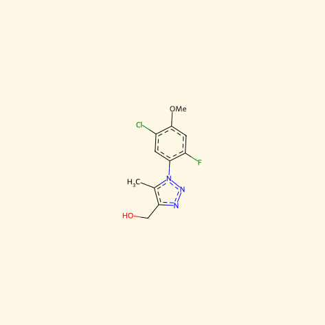 COc1cc(F)c(-n2nnc(CO)c2C)cc1Cl